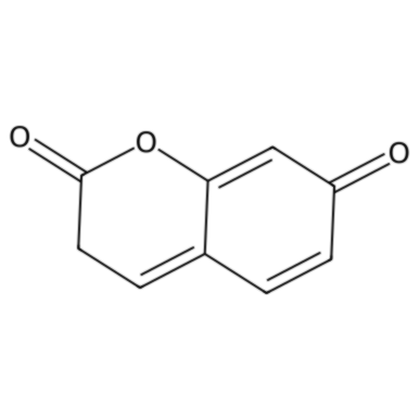 O=C1C=CC2=CCC(=O)OC2=C1